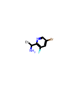 CCC(N)c1ncc(Br)cc1F